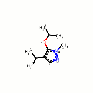 CC(C)Oc1c(C(C)C)cnn1C